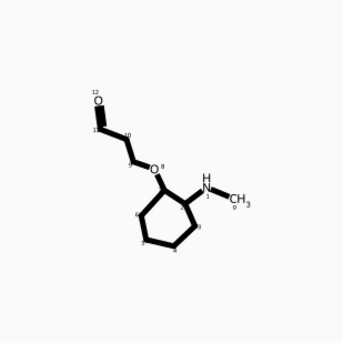 CNC1CCCCC1OCCC=O